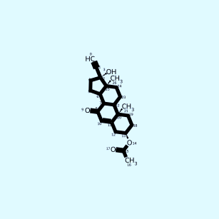 C#C[C@]1(O)CCC2C3C(=O)C=C4C[C@@H](OC(C)=O)CC[C@]4(C)C3CC[C@@]21C